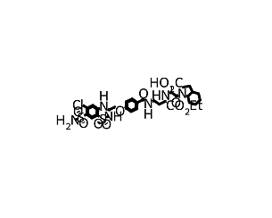 CCOC(=O)[C@H](CCNC(=O)c1ccc(OCC2Nc3cc(Cl)c(S(N)(=O)=O)cc3S(=O)(=O)N2)cc1)N[C@@H](C)C(=O)N1C(C(=O)O)CC2CCCCC21